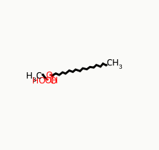 CCCCCCCCCCCCCCCCCC(=O)OC(O)(O)CC